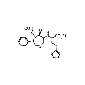 CCOC(=O)C(CCc1cccs1)NC1CSCC(c2ccccc2)N(CC(=O)O)C1=O